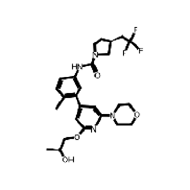 Cc1ccc(NC(=O)N2CC[C@@H](CC(F)(F)F)C2)cc1-c1cc(OC[C@H](C)O)nc(N2CCOCC2)c1